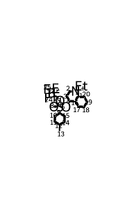 CC[n+]1ccc(OS(=O)(=O)c2ccc(C)cc2)c2ccccc21.F[B-](F)(F)F